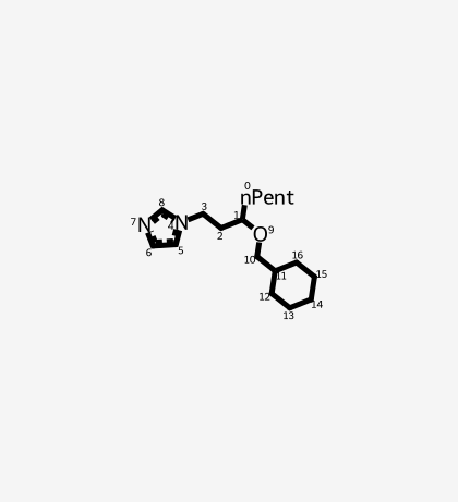 CCCCCC(CCn1ccnc1)OCC1CCCCC1